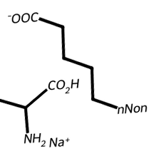 CC(N)C(=O)O.CCCCCCCCCCCCCC(=O)[O-].[Na+]